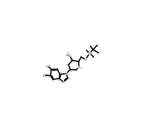 CC(C)(C)[Si](C)(C)OCC1OCC(n2cnc3cc(Cl)c(Cl)cc32)CC1O